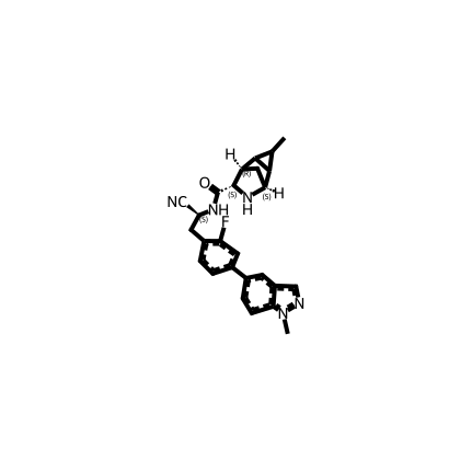 CC1C2C1[C@H]1C[C@@H]2N[C@@H]1C(=O)N[C@H](C#N)Cc1ccc(-c2ccc3c(cnn3C)c2)cc1F